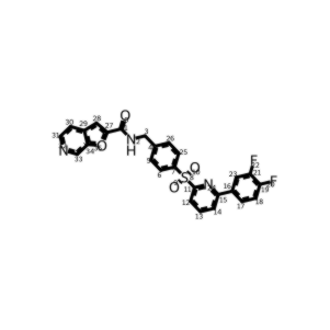 O=C(NCc1ccc(S(=O)(=O)c2cccc(-c3ccc(F)c(F)c3)n2)cc1)c1cc2ccncc2o1